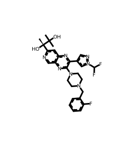 CC(C)(O)[C@@](C)(O)c1cc2nc(-c3cnn(C(F)F)c3)c(N3CCN(Cc4ccccc4F)CC3)nc2cn1